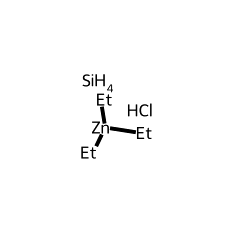 C[CH2][Zn]([CH2]C)[CH2]C.Cl.[SiH4]